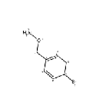 NOCC1=NCC(Br)C=C1